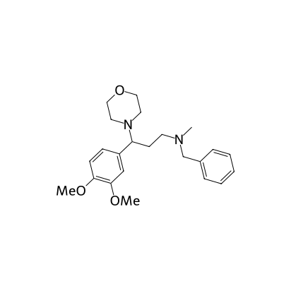 COc1ccc(C(CCN(C)Cc2ccccc2)N2CCOCC2)cc1OC